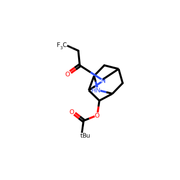 CC(C)(C)C(=O)OC1C2CC3CC(N2)C1N(C(=O)CC(F)(F)F)C3